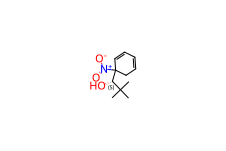 CC(C)(C)[C@H](O)C1([N+](=O)[O-])C=CC=CC1